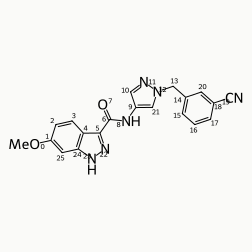 COc1ccc2c(C(=O)Nc3cnn(Cc4cccc(C#N)c4)c3)n[nH]c2c1